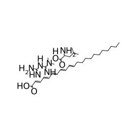 CC(C)C[C@H](N)C(=O)O.CCCCCCCCCCCC=CC=CC=CC=CC=CC(=O)O.CN(C)C(=N)NC(=N)N